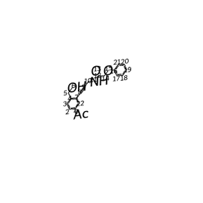 CC(=O)c1ccc(CO)c(C#CCNC(=O)COc2ccccc2)c1